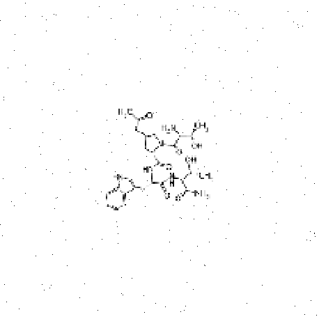 CC(=O)O[C@@H]1C[C@@H](C(=O)N[C@@H](Cc2c[nH]c3ccccc23)C(=O)N[C@H](C(N)=O)[C@@H](C)O)N(C(=O)[C@@H](N)[C@@H](C)O)C1